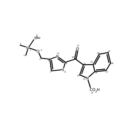 CC(C)(C)[Si](C)(C)OCc1csc(C(=O)c2cn(C(=O)O)c3ccccc23)n1